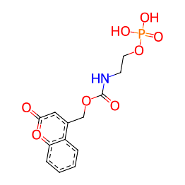 O=C(NCCOP(=O)(O)O)OCc1cc(=O)oc2ccccc12